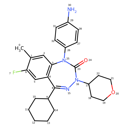 Cc1cc2c(cc1F)C(C1CCCCC1)=NN(C1CCOCC1)C(=O)N2c1ccc(N)cc1